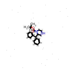 CC(C)(C)OC(=O)N1CCNCC1C(c1ccccc1)c1ccccc1